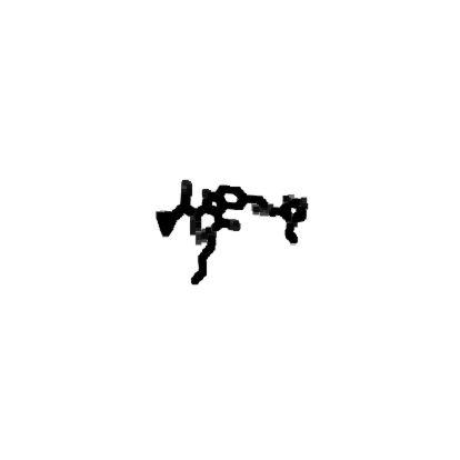 CCCCNC(=O)c1c(NC(=O)C2CC2)sc2c1CC(CNc1nncn1CC)CC2